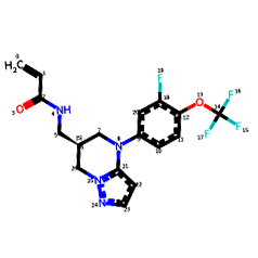 C=CC(=O)NC[C@H]1CN(c2ccc(OC(F)(F)F)c(F)c2)c2ccnn2C1